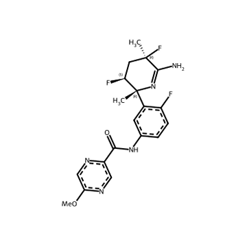 COc1cnc(C(=O)Nc2ccc(F)c([C@@]3(C)N=C(N)[C@](C)(F)C[C@@H]3F)c2)cn1